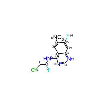 O=[N+]([O-])c1cc2c(NC(F)CCl)ncnc2cc1F